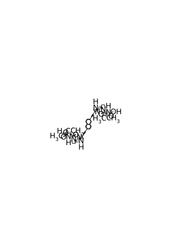 COC(=O)N[C@H](C(=O)N1CCC[C@H]1c1nc(C#Cc2ccc3cc(C#Cc4c[nH]c([C@@H]5CCCN5C(=O)[C@@H](NC(=O)O)C(C)C)n4)ccc3c2)c[nH]1)C(C)C